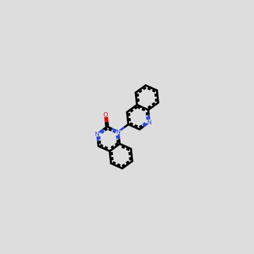 O=c1ncc2ccccc2n1-c1cnc2ccccc2c1